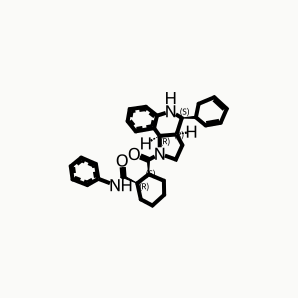 O=C(Nc1ccccc1)[C@@H]1CCCC[C@@H]1C(=O)N1CC[C@@H]2[C@H](C3C=CC=CC3)Nc3ccccc3[C@@H]21